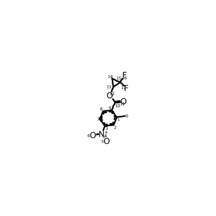 Cc1cc([N+](=O)[O-])ccc1C(=O)OC1CC1(F)F